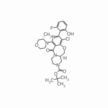 C[C@H]1COCCN1c1nc(-c2c(O)cccc2F)c(Cl)c2c1C(=O)N1CCN(C(=O)OC(C)(C)C)C[C@@H]1CO2